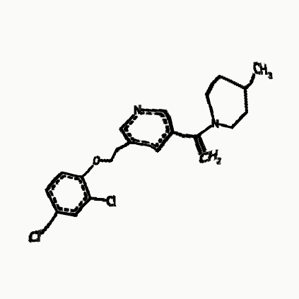 C=C(c1cncc(COc2ccc(Cl)cc2Cl)c1)N1CCC(C)CC1